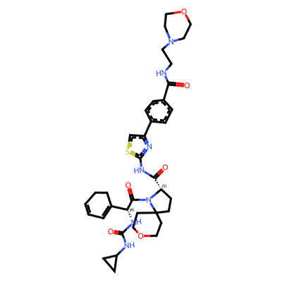 O=C(NC1CC1)N[C@@H](C(=O)N1[C@H](C(=O)Nc2nc(-c3ccc(C(=O)NCCN4CCOCC4)cc3)cs2)CCC12CCOCC2)C1=CC=CCC1